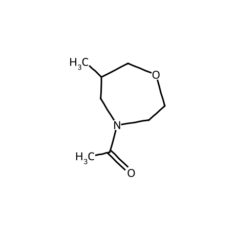 CC(=O)N1CCOCC(C)C1